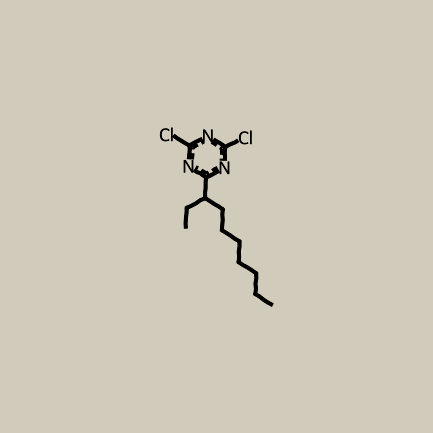 CCCCCCCC(CC)c1nc(Cl)nc(Cl)n1